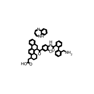 C1=CNc2ccccc2N=C1.NCc1ccccc1-c1ccccc1C(=O)Nc1ccc(C(=O)C2Cc3ccccc3-c3ccc4c(c32)CCCC4CC(=O)O)cc1Cl